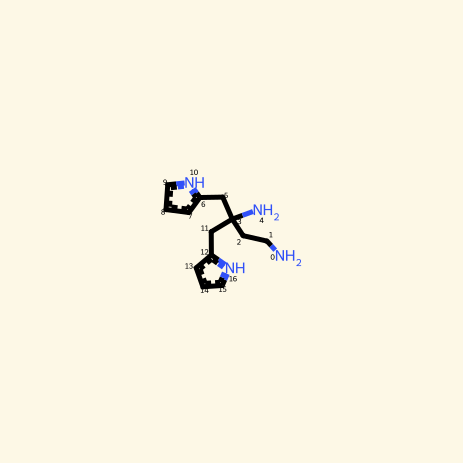 NCCC(N)(Cc1ccc[nH]1)Cc1ccc[nH]1